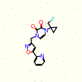 O=c1c(=O)n(C2(CF)CC2)ccn1Cc1cc(-c2ccccn2)on1